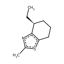 CC[C@H]1CCCc2sc(C)nc21